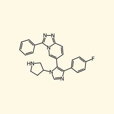 Fc1ccc(-c2ncn(C3CCNC3)c2-c2ccc3nnc(-c4ccccc4)n3c2)cc1